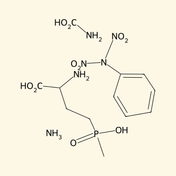 CP(=O)(O)CCC(N)C(=O)O.N.NC(=O)O.O=[N+]([O-])N(c1ccccc1)[N+](=O)[O-]